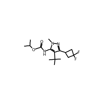 CC(C)OC(=O)Nc1c(C(C)(C)C)c(C2CC(F)(F)C2)nn1C